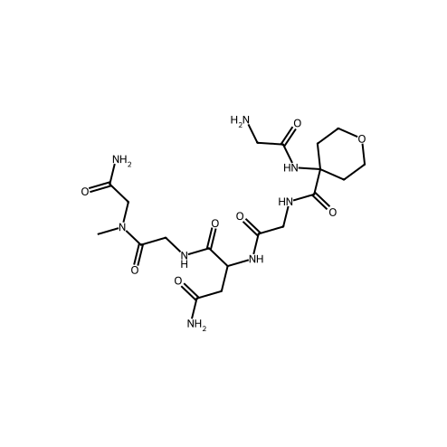 CN(CC(N)=O)C(=O)CNC(=O)C(CC(N)=O)NC(=O)CNC(=O)C1(NC(=O)CN)CCOCC1